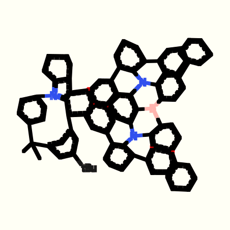 CC(C)(C)c1cc2cc(c1)C(C)(C)c1ccc(cc1)-n1c3ccccc3c3cc(-c4cc5c6c(c4)N(c4c(-c7ccccc7)cccc4-c4ccccc4)c4cc(-c7ccccc7)ccc4B6c4ccc(-c6ccccc6)cc4N5c4c(-c5ccccc5)cccc4-c4ccccc4)cc-2c31